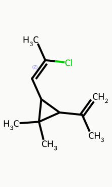 C=C(C)C1C(/C=C(/C)Cl)C1(C)C